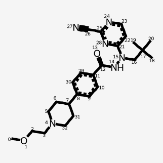 COCCN1CCC(c2ccc(C(=O)NN(CC(C)(C)C)c3ccnc(C#N)n3)cc2)CC1